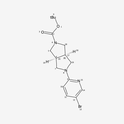 CC(C)(C)OC(=O)N1C[C@@H]2CN(c3ccc(Br)cn3)C[C@@H]2C1